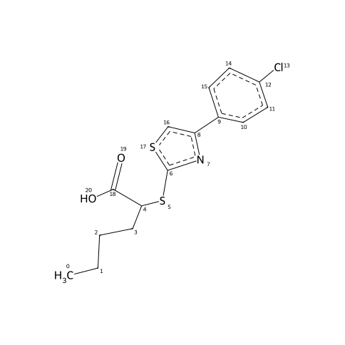 CCCCC(Sc1nc(-c2ccc(Cl)cc2)cs1)C(=O)O